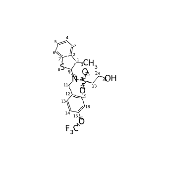 CC1c2ccccc2SC1N(Cc1ccc(OC(F)(F)F)cc1)S(=O)(=O)CCO